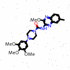 COc1cc(N2CCN(C(=O)Nc3nc4cc(C)ccc4nc3OC)CC2)cc(OC)c1OC